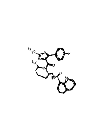 Cc1nc(C(=O)N2C(C)CCCC2CNC(=O)c2cccc3cccnc23)c(-c2ccc(F)cc2)s1